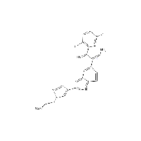 CNCCn1cc(-c2cnc3ccc(/C(=C/N)C(=N)c4cc(Cl)ccc4F)cc3c2)cn1